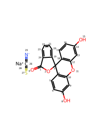 O=C1OC2(c3ccc(O)cc3Oc3cc(O)ccc32)c2ccccc21.[N-]=C=S.[Na+]